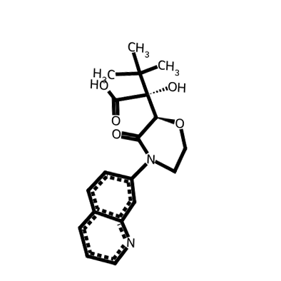 CC(C)(C)[C@](O)(C(=O)O)[C@H]1OCCN(c2ccc3cccnc3c2)C1=O